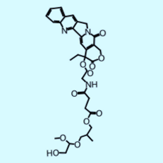 CCC1(OC(=O)CNC(=O)CCC(=O)OCC(C)COC(CO)OC)C(=O)OCc2c1cc1n(c2=O)Cc2cc3ccccc3nc2-1